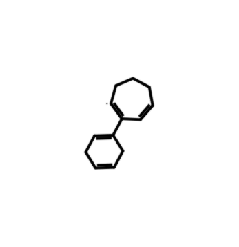 [C]1=C(C2=CCC=CC2)C=CCCC1